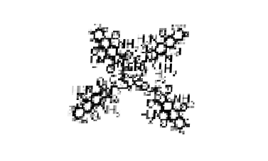 CC(COCC(COCC(C)n1c(=O)c2c(N)c3c(=O)c4ccccc4c(=O)c3c(N)c2c1=O)(COCC(C)n1c(=O)c2c(N)c3c(=O)c4ccccc4c(=O)c3c(N)c2c1=O)COCC(C)n1c(=O)c2c(N)c3c(=O)c4ccccc4c(=O)c3c(N)c2c1=O)n1c(=O)c2c(N)c3c(=O)c4ccccc4c(=O)c3c(N)c2c1=O